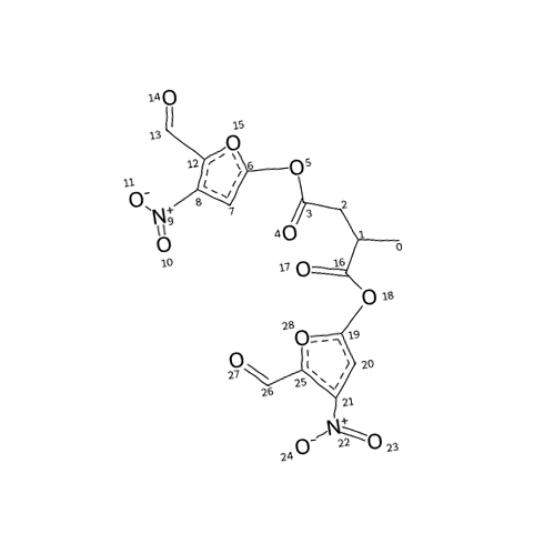 CC(CC(=O)Oc1cc([N+](=O)[O-])c(C=O)o1)C(=O)Oc1cc([N+](=O)[O-])c(C=O)o1